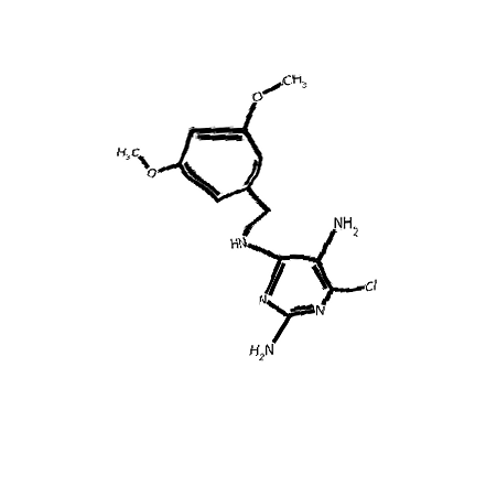 COc1cc(CNc2nc(N)nc(Cl)c2N)cc(OC)c1